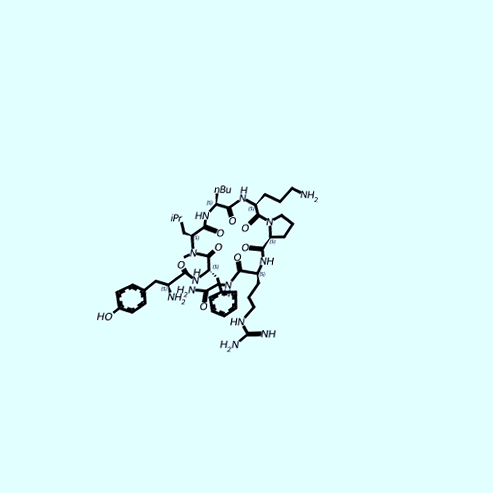 CCCC[C@H](NC(=O)[C@H](CC(C)C)N(C)C(=O)[C@H](Cc1ccccc1)NC(=O)[C@@H](N)Cc1ccc(O)cc1)C(=O)N[C@@H](CCCN)C(=O)N1CCC[C@H]1C(=O)N[C@@H](CCCNC(=N)N)C(=O)NCC(N)=O